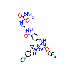 CN(CCCNC(=O)c1ccc(Nc2nc(NC3(c4ccc(Cl)cc4)CC3)nc(OCC(F)(F)F)n2)cc1)C(=O)C(N)=O